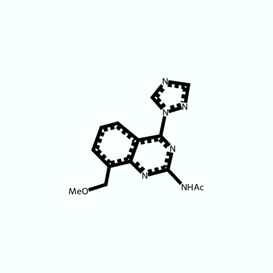 COCc1cccc2c(-n3cncn3)nc(NC(C)=O)nc12